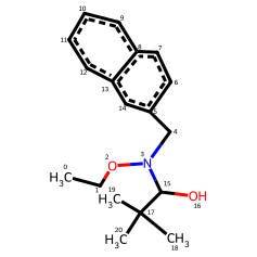 CCON(Cc1ccc2ccccc2c1)C(O)C(C)(C)C